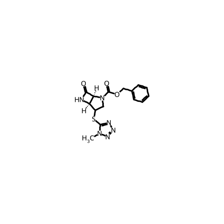 Cn1nnnc1SC1CN(C(=O)OCc2ccccc2)[C@@H]2C(=O)N[C@H]12